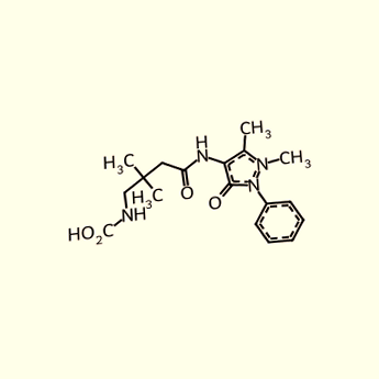 Cc1c(NC(=O)CC(C)(C)CNC(=O)O)c(=O)n(-c2ccccc2)n1C